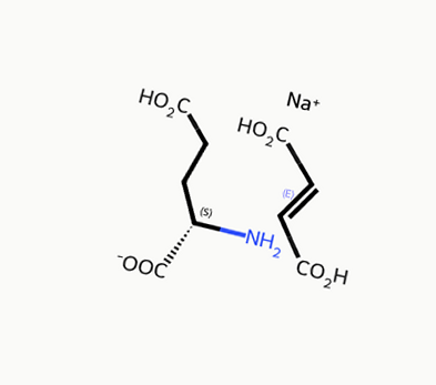 N[C@@H](CCC(=O)O)C(=O)[O-].O=C(O)/C=C/C(=O)O.[Na+]